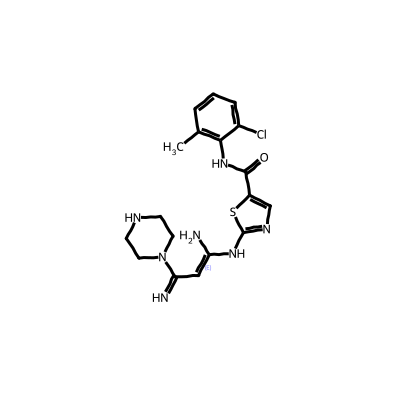 Cc1cccc(Cl)c1NC(=O)c1cnc(N/C(N)=C/C(=N)N2CCNCC2)s1